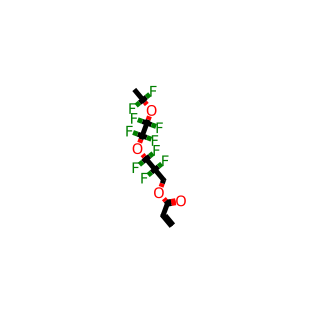 C=CC(=O)OCC(F)(F)C(F)(F)OC(F)(F)C(F)(F)OC(C)(F)F